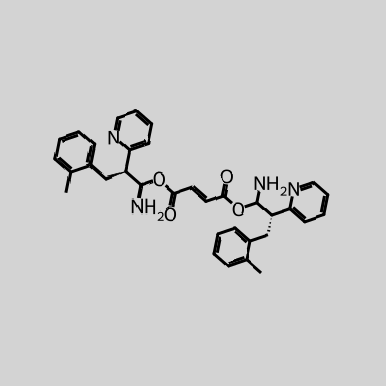 Cc1ccccc1C[C@@H](c1ccccn1)C(N)OC(=O)/C=C/C(=O)OC(N)[C@@H](Cc1ccccc1C)c1ccccn1